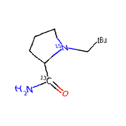 CC(C)(C)C[15N]1CCCC1[13C](N)=O